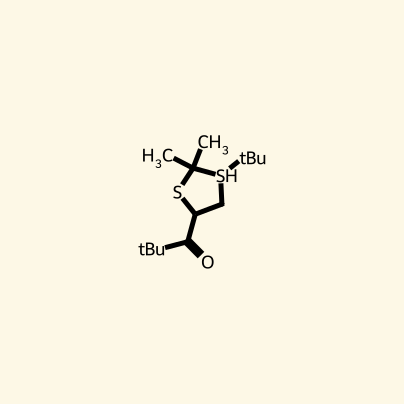 CC(C)(C)C(=O)C1C[SH](C(C)(C)C)C(C)(C)S1